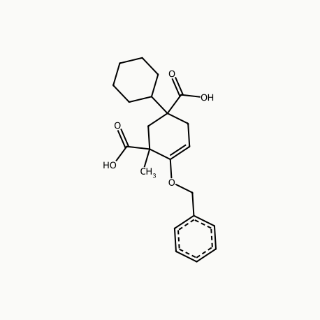 CC1(C(=O)O)CC(C(=O)O)(C2CCCCC2)CC=C1OCc1ccccc1